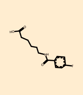 O=C(O)CCCCCNC(=O)c1ccc(F)cc1